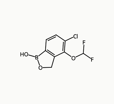 OB1OCc2c1ccc(Cl)c2OC(F)F